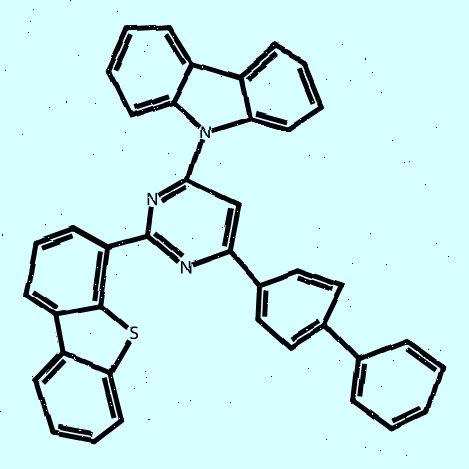 c1ccc(-c2ccc(-c3cc(-n4c5ccccc5c5ccccc54)nc(-c4cccc5c4sc4ccccc45)n3)cc2)cc1